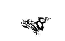 O=S(=O)(Nc1ccc2c[n+]([O-])ccc2c1)C1C(Cl)N=C2SC=CN21